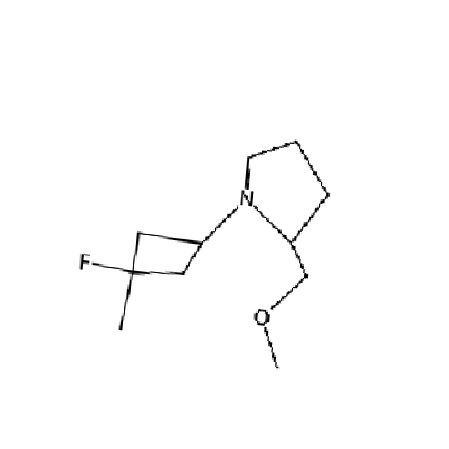 COCC1CCCN1C1CC(C)(F)C1